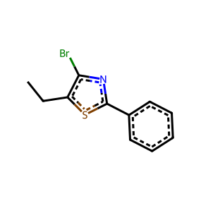 CCc1sc(-c2ccccc2)nc1Br